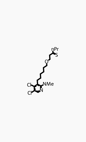 CCCC(=S)CCOCCCCCCc1c(NC)ncc(Cl)c1Cl